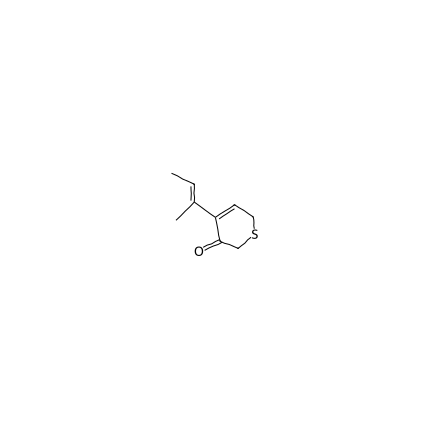 C/C=C(\C)C1=CCSCC1=O